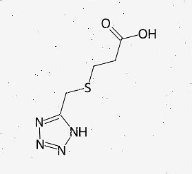 O=C(O)CCSCc1nnn[nH]1